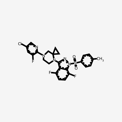 Cc1ccc(S(=O)(=O)n2nc(N3CCN(c4ncc(Cl)cc4F)CC34CC4)c3c(F)ccc(F)c32)cc1